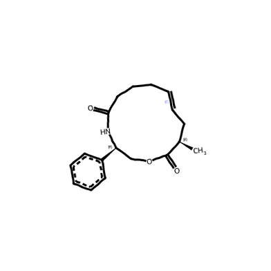 C[C@@H]1C/C=C/CCCC(=O)N[C@H](c2ccccc2)COC1=O